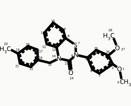 COc1ccc(N2Sc3ccccc3N(Cc3ccc(C)cc3)C2=O)cc1OC